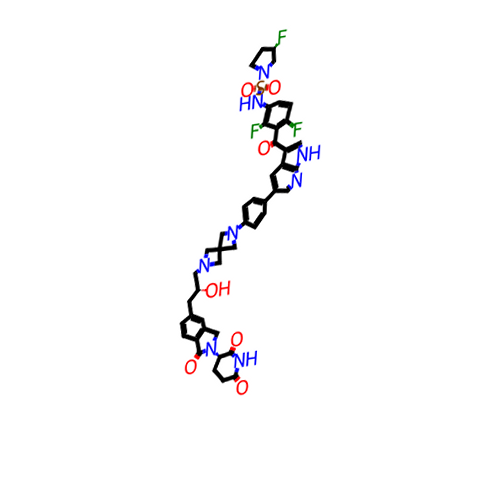 O=C1CC[C@@H](N2Cc3cc(C[C@@H](O)CN4CC5(C4)CN(c4ccc(-c6cnc7[nH]cc(C(=O)c8c(F)ccc(NS(=O)(=O)N9CC[C@@H](F)C9)c8F)c7c6)cc4)C5)ccc3C2=O)C(=O)N1